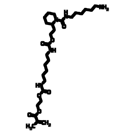 C=C(C)C(=O)OCCOC(=O)NCCCCCCNC(=O)OCCC1CCCCN1C(=O)NCCCCCCN